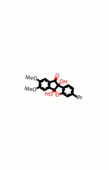 COc1cc2c(cc1OC)C1(O)Oc3cc(C(C)C)ccc3C1(O)C2=O